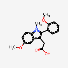 COc1ccc2c(c1)c(CC(=O)O)c(-c1ccccc1OC)n2C